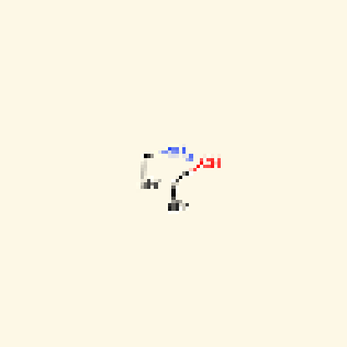 CCCCN.CCCCO